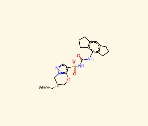 CNC[C@H]1COc2c(S(=O)(=O)NC(=O)Nc3c4c(cc5c3CCC5)CCC4)cnn2C1